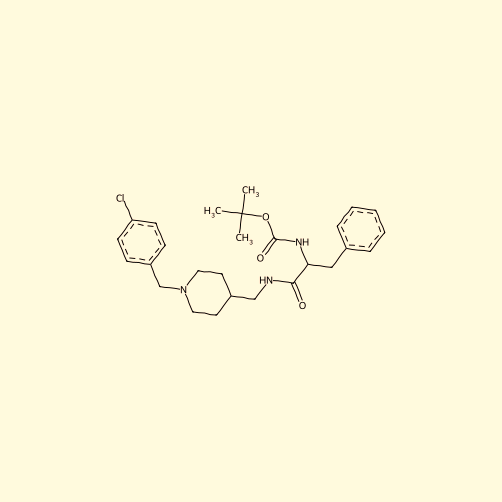 CC(C)(C)OC(=O)NC(Cc1ccccc1)C(=O)NCC1CCN(Cc2ccc(Cl)cc2)CC1